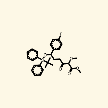 COC(=O)C(OC)C(=O)CCC(O[Si](c1ccccc1)(c1ccccc1)C(C)(C)C)c1ccc(F)cc1